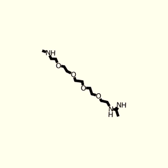 CNCCOCCOCCOCCOCCNC(C)=N